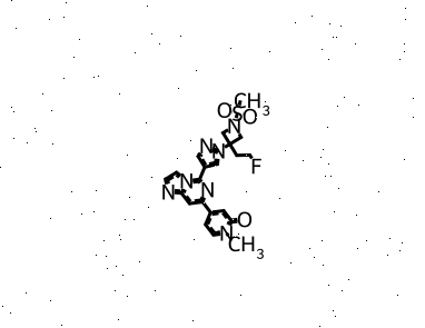 Cn1ccc(-c2cc3nccn3c(-c3cnn(C4(CCF)CN(S(C)(=O)=O)C4)c3)n2)cc1=O